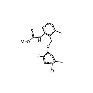 CCc1cc(F)c(OCc2c(C)cccc2NC(=S)OC)cc1C